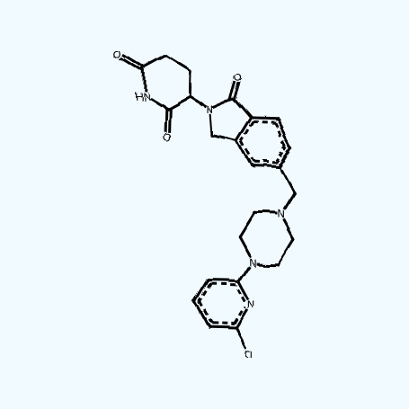 O=C1CCC(N2Cc3cc(CN4CCN(c5cccc(Cl)n5)CC4)ccc3C2=O)C(=O)N1